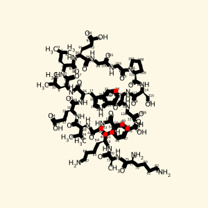 CC(C)C[C@H](NC(=O)[C@H](CC(C)C)NC(=O)[C@H](Cc1c[nH]c2ccccc12)NC(=O)[C@H](CCC(=O)O)NC(=O)[C@@H](NC(=O)[C@H](Cc1ccccc1)NC(=O)[C@H](CCC(=O)O)NC(=O)[C@H](CCCCN)NC(=O)[C@H](C)NC(=O)[C@@H](N)CCCCN)C(C)C)C(=O)N[C@@H](CCC(=O)O)C(=O)NCC(=O)NCC(=O)N1CCC[C@H]1C(=O)N[C@@H](CO)C(=O)N[C@@H](CO)C(=O)NCC(=O)O